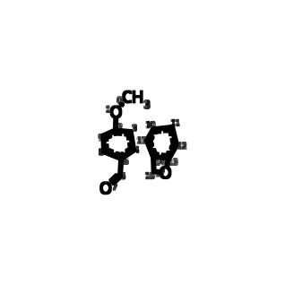 COc1ccc(C=O)cc1.c1ccc2c(c1)CO2